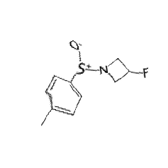 Cc1ccc([S+]([O-])N2CC(F)C2)cc1